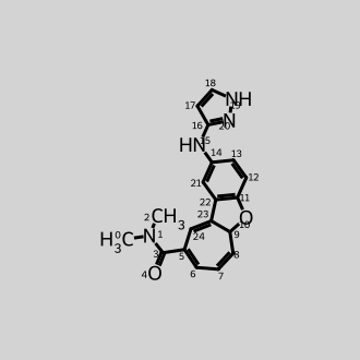 CN(C)C(=O)C1=CC=CC2Oc3ccc(Nc4cc[nH]n4)cc3C2=C1